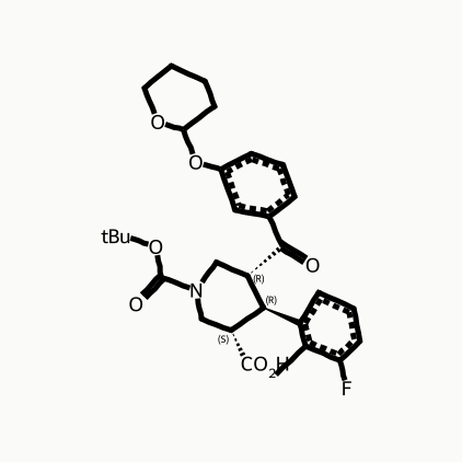 Cc1c(F)cccc1[C@@H]1[C@@H](C(=O)c2cccc(OC3CCCCO3)c2)CN(C(=O)OC(C)(C)C)C[C@H]1C(=O)O